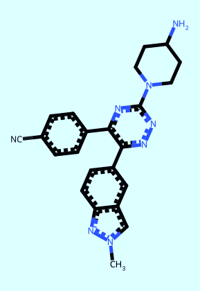 Cn1cc2cc(-c3nnc(N4CCC(N)CC4)nc3-c3ccc(C#N)cc3)ccc2n1